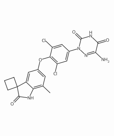 Cc1cc(Oc2c(Cl)cc(-n3nc(N)c(=O)[nH]c3=O)cc2Cl)cc2c1NC(=O)C21CCC1